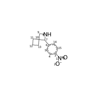 O=[N+]([O-])c1ccc(C2NCC23CCC3)cc1